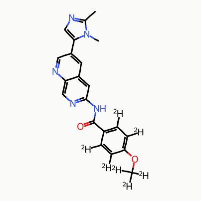 [2H]c1c([2H])c(C(=O)Nc2cc3cc(-c4cnc(C)n4C)cnc3cn2)c([2H])c([2H])c1OC([2H])([2H])[2H]